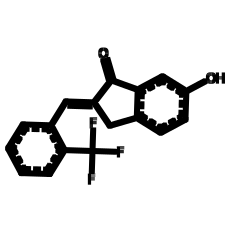 O=C1/C(=C/c2ccccc2C(F)(F)F)Cc2ccc(O)cc21